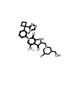 Cn1cnnc1C1(c2cccc(-n3cc(C(F)(F)F)c4c(c3=O)NC(CN3CC(F)CC(CO)C3)C4=O)c2)CCC1